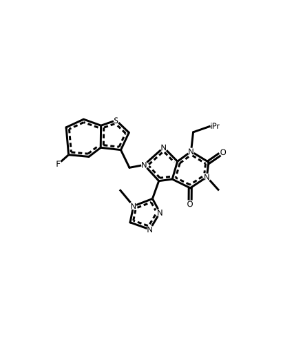 CC(C)Cn1c(=O)n(C)c(=O)c2c(-c3nncn3C)n(Cc3csc4ccc(F)cc34)nc21